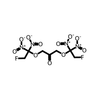 O=C(COC(CF)([N+](=O)[O-])[N+](=O)[O-])COC(CF)([N+](=O)[O-])[N+](=O)[O-]